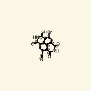 N#Cc1cc2c3c(c(Br)cc4c3c1C(=O)NC4=O)C(=O)NC2=O